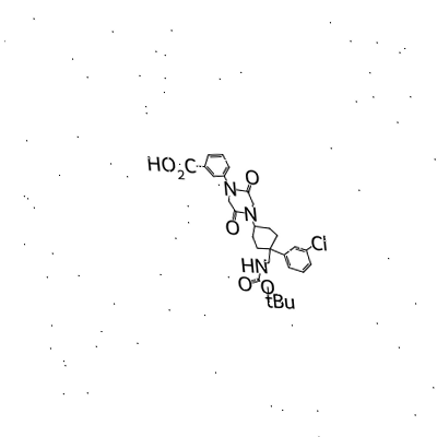 CC(C)(C)OC(=O)NCC1(c2cccc(Cl)c2)CCC(N2CC(=O)N(c3cccc(C(=O)O)c3)CC2=O)CC1